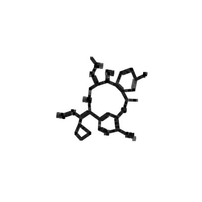 CN/N=C1/CN/C(=C(\N=N)C2CCC2)c2cnc(N)c(c2)OC(C)c2cc(F)ccc2C1=N